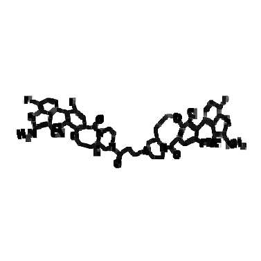 N#Cc1c(N)sc2c(F)ccc(-c3c(F)cc4c(c3Cl)OCCC3CN(CCC(=O)N5CCN6C(=O)c7cc(F)c(-c8ccc(F)c9sc(N)c(C#N)c89)c(Cl)c7OCC[C@H]6C5)CCN3C4=O)c12